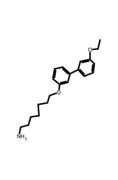 CCOc1cccc(-c2cccc(OCCCCCCCN)c2)c1